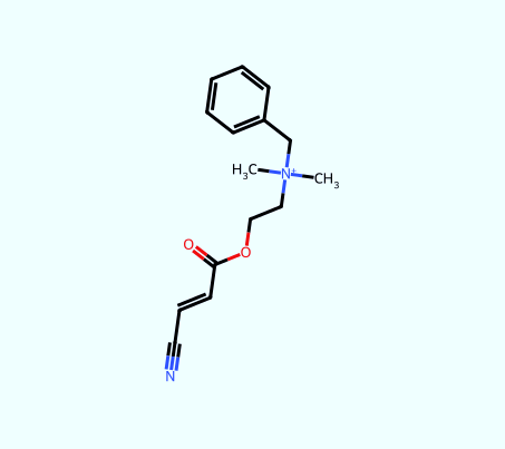 C[N+](C)(CCOC(=O)C=CC#N)Cc1ccccc1